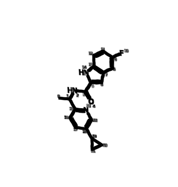 CC(NC(=O)c1cc2cc(F)ccc2[nH]1)c1ccc(C2CC2)cn1